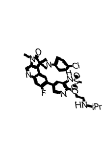 CC(C)NCCOc1ncc(-c2cc3c4c(cnc3cc2F)N(C)C(=O)C42CN(c3ccc(Cl)cc3)C2)cc1NS(C)(=O)=O